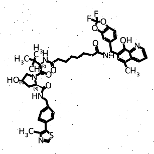 Cc1ncsc1-c1ccc(CNC(=O)[C@H]2C[C@@H](O)CN2C(=O)[C@H](NC(=O)CCCCCCC(=O)NC(c2ccc3c(c2)OC(F)(F)O3)c2cc(C)c3cccnc3c2O)C(C)(C)C)cc1